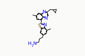 Cc1cc(-c2nc3c(C)cc(CCCN)cc3s2)c2ncc(CC3CC3)nc2c1